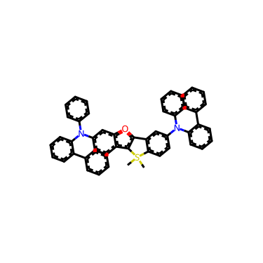 CS1(C)c2ccc(N(c3ccccc3)c3ccccc3-c3ccccc3)cc2-c2oc3cc(N(c4ccccc4)c4ccccc4-c4ccccc4)ccc3c21